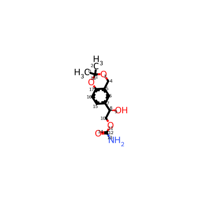 CC1(C)OCc2cc([C@@H](O)COC(N)=O)ccc2O1